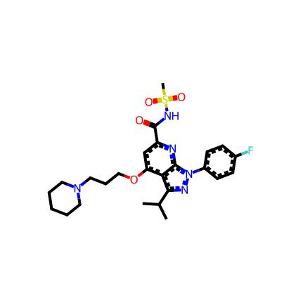 CC(C)c1nn(-c2ccc(F)cc2)c2nc(C(=O)NS(C)(=O)=O)cc(OCCCN3CCCCC3)c12